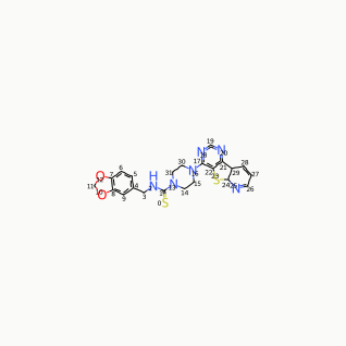 S=C(NCc1ccc2c(c1)OCO2)N1CCN(c2ncnc3c2SC2N=CC=CC32)CC1